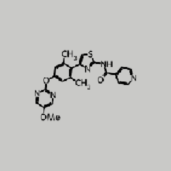 COc1cnc(Oc2cc(C)c(-c3csc(NC(=O)c4ccncc4)n3)c(C)c2)nc1